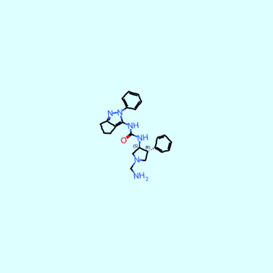 NCN1C[C@@H](NC(=O)Nc2c3c(nn2-c2ccccc2)CCC3)[C@H](c2ccccc2)C1